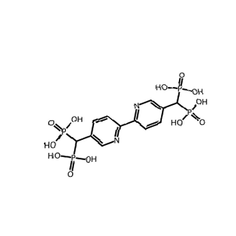 O=P(O)(O)C(c1ccc(-c2ccc(C(P(=O)(O)O)P(=O)(O)O)cn2)nc1)P(=O)(O)O